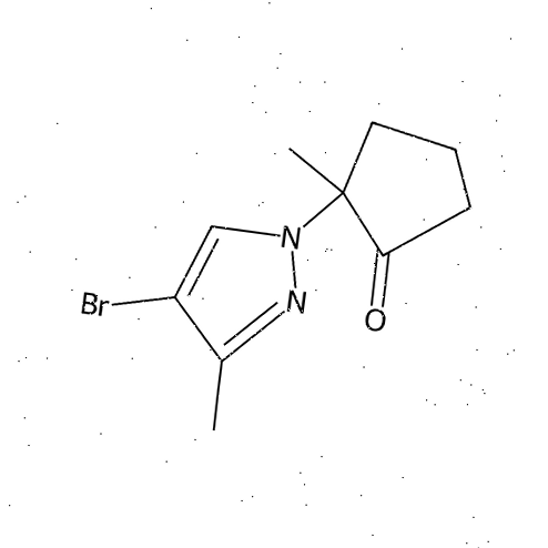 Cc1nn(C2(C)CCCC2=O)cc1Br